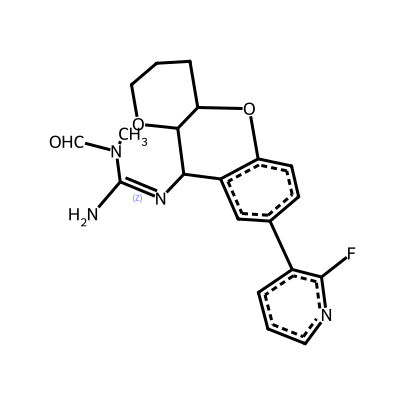 CN(C=O)/C(N)=N\C1c2cc(-c3cccnc3F)ccc2OC2CCCOC21